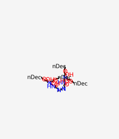 CCCCCCCCCCCCOCC(O)CN(CCNC(=O)CCN(C)CCN(C)CCC(=O)NCCN(CC(O)COCCCCCCCCCCCC)CC(O)COCCCCCCCCCCCC)CC(O)COCCCCCCCCCCCC